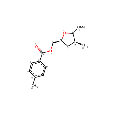 COC1O[C@H](COC(=O)c2ccc(C)cc2)C[C@@H]1C